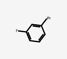 CC(C)c1c[c]cc(F)c1